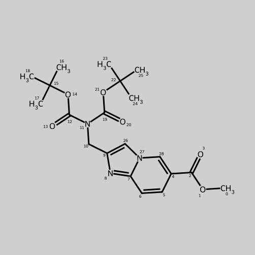 COC(=O)c1ccc2nc(CN(C(=O)OC(C)(C)C)C(=O)OC(C)(C)C)cn2c1